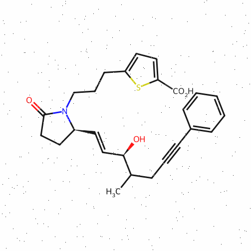 CC(CC#Cc1ccccc1)[C@H](O)C=C[C@H]1CCC(=O)N1CCCc1ccc(C(=O)O)s1